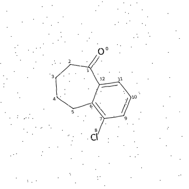 O=C1CCCCc2c(Cl)cccc21